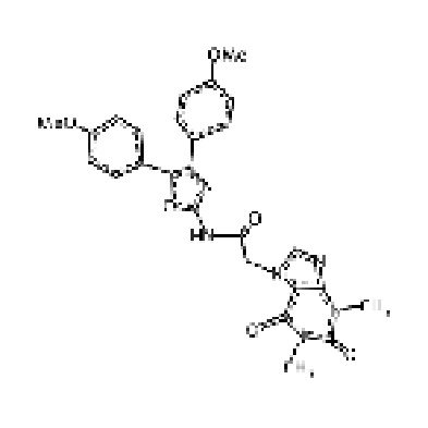 COc1ccc(-c2nc(NC(=O)Cn3cnc4c3c(=O)n(C)c(=O)n4C)oc2-c2ccc(OC)cc2)cc1